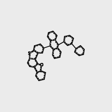 c1ccc(-c2cccc(-c3c4ccccc4c(-c4ccc5sc6ccc7c8ccccc8oc7c6c5c4)c4ccccc34)c2)cc1